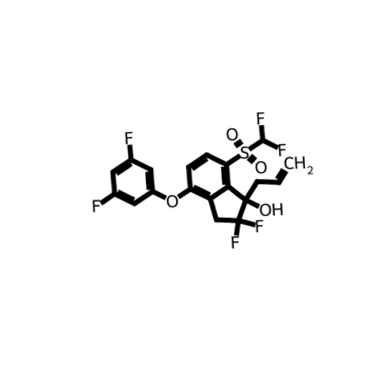 C=CCC1(O)c2c(S(=O)(=O)C(F)F)ccc(Oc3cc(F)cc(F)c3)c2CC1(F)F